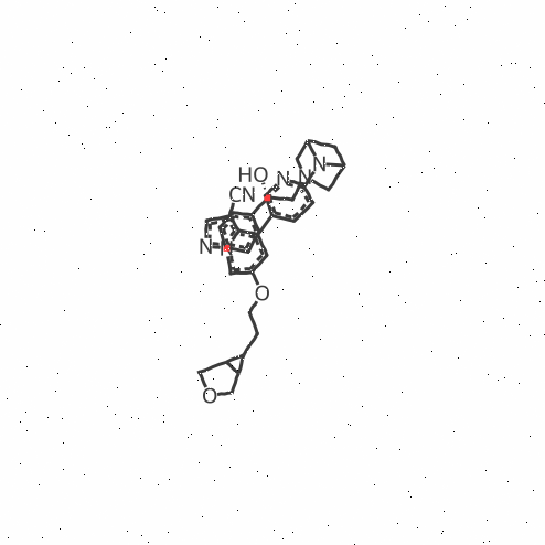 N#Cc1cnn2cc(OCCC3C4COCC34)cc(-c3ccc(N4C5CC4CN(C[C@@H](O)c4ccccc4)C5)nc3)c12